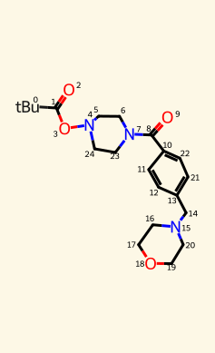 CC(C)(C)C(=O)ON1CCN(C(=O)c2ccc(CN3CCOCC3)cc2)CC1